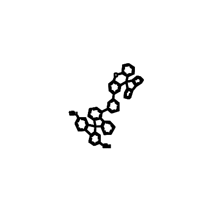 CC(C)(C)c1ccc2c(c1)C1(c3cc(C(C)(C)C)ccc3-2)c2ccccc2-c2c(-c3cccc(-c4ccc5c(c4)C4(c6ccccc6O5)c5ccccc5-c5ccccc54)c3)cccc21